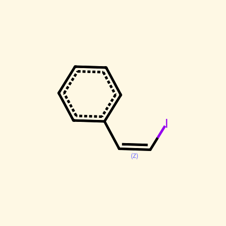 I/C=C\c1ccccc1